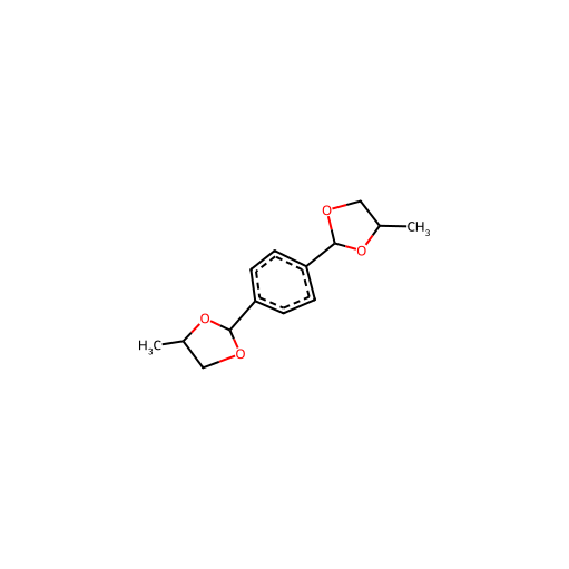 CC1COC(c2ccc(C3OCC(C)O3)cc2)O1